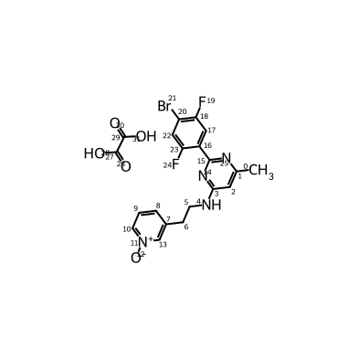 Cc1cc(NCCc2ccc[n+]([O-])c2)nc(-c2cc(F)c(Br)cc2F)n1.O=C(O)C(=O)O